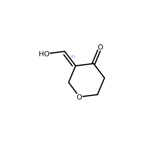 O=C1CCOC/C1=C\O